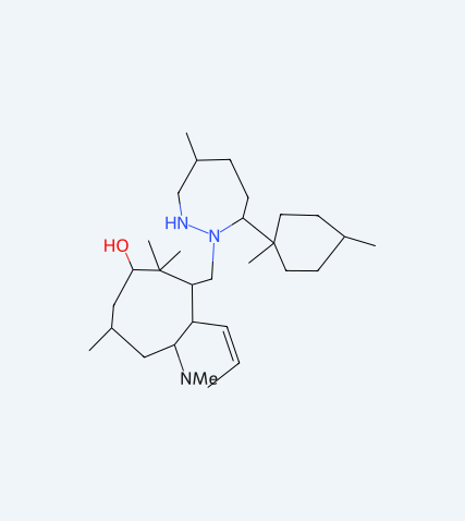 C/C=C\C1C(NC)CC(C)CC(O)C(C)(C)C1CN1NCC(C)CCC1C1(C)CCC(C)CC1